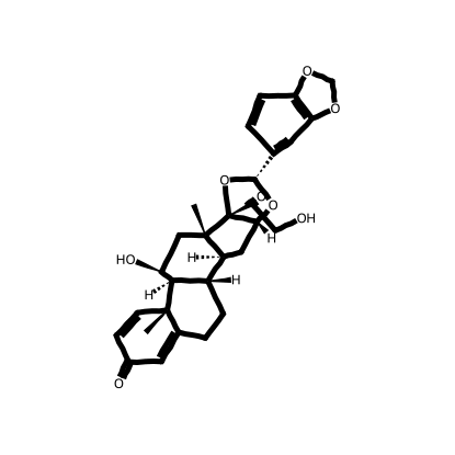 C[C@]12C=CC(=O)C=C1CC[C@@H]1[C@@H]2[C@@H](O)C[C@@]2(C)[C@H]1C[C@H]1O[C@@H](c3ccc4c(c3)OCO4)O[C@]12C(=O)CO